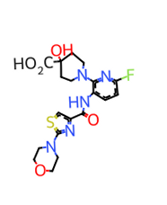 O=C(Nc1ccc(F)nc1N1CCC(O)(C(=O)O)CC1)c1csc(N2CCOCC2)n1